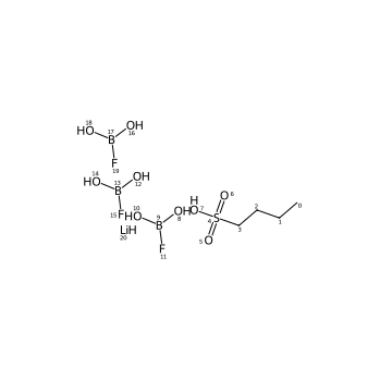 CCCCS(=O)(=O)O.OB(O)F.OB(O)F.OB(O)F.[LiH]